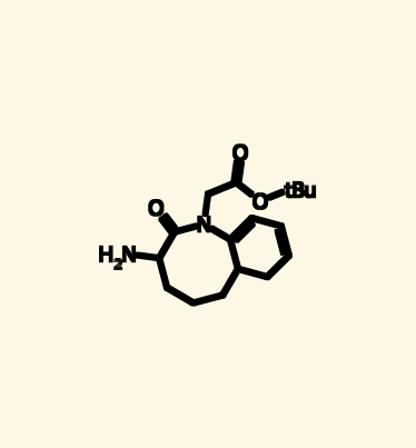 CC(C)(C)OC(=O)CN1C(=O)C(N)CCCC2CC=CC=C21